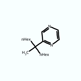 CCCCCCC(C)(CCCCCC)c1cnccn1